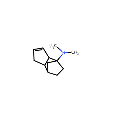 CN(C)C12CCC(C1)C1CC=CC12